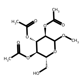 COC1O[C@H]([CH]O)[C@@H](OC(C)=O)[C@H](OC(C)=O)[C@H]1OC(C)=O